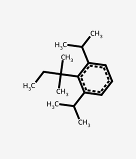 CCC(C)(C)c1c(C(C)C)cccc1C(C)C